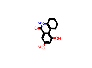 O=c1[nH]c2c(c3c(O)cc(O)cc13)CCCC2